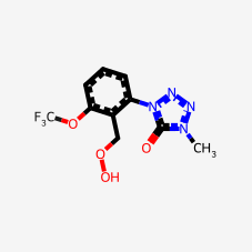 Cn1nnn(-c2cccc(OC(F)(F)F)c2COO)c1=O